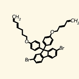 C=C/C=C/CCCOc1ccc(C2(c3ccc(OC/C=C/C=C)cc3)c3cc(Br)ccc3-c3ccc(Br)cc32)cc1